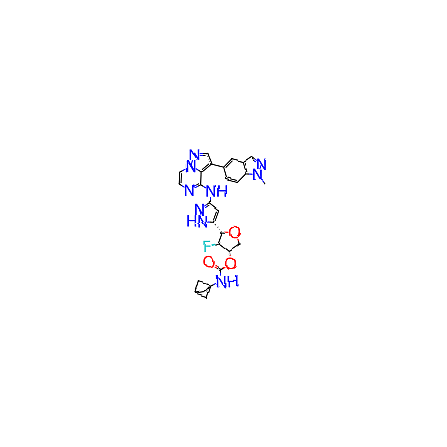 Cn1ncc2cc(-c3cnn4ccnc(Nc5cc([C@@H]6OC[C@H](OC(=O)NC78CC(C7)C8)[C@H]6F)[nH]n5)c34)ccc21